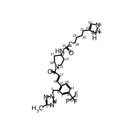 Cc1nnn(Cc2cc(C(F)(F)F)ccc2C=CC(=O)N2CCC(NC(=O)CCCCCc3cnn[nH]3)CC2)n1